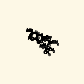 C=C(C)C.C=C(C)C.O=C(O)C=C(CC(=O)O)C(=O)O